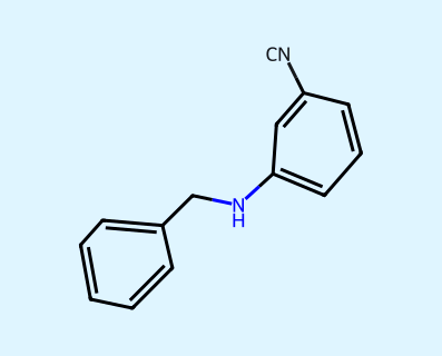 [C-]#[N+]c1cccc(NCc2ccccc2)c1